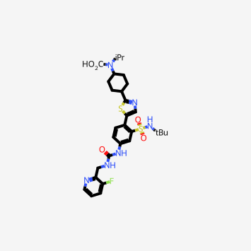 CC(C)N(C(=O)O)C1CCC(c2ncc(-c3ccc(NC(=O)NCc4ncccc4F)cc3S(=O)(=O)NC(C)(C)C)s2)CC1